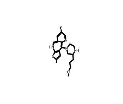 COCCCC1CN(C2=c3ncc(F)cc3=CNc3sc(C)cc32)CCN1